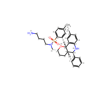 Cc1ccc(S(=O)(=O)N(CCCCN)C[C@H]2CC[C@@H]3[C@H](O2)c2cc(C(F)(F)F)ccc2N[C@H]3c2ccccc2)cc1